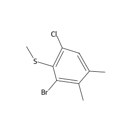 CSc1c(Cl)cc(C)c(C)c1Br